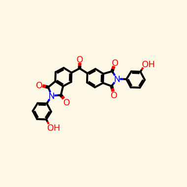 O=C(c1ccc2c(c1)C(=O)N(c1cccc(O)c1)C2=O)c1ccc2c(c1)C(=O)N(c1cccc(O)c1)C2=O